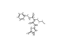 CCCCN(C(=O)Nc1n[nH]c(=S)s1)C(=O)OCc1ccccc1